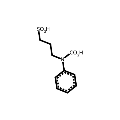 O=C(O)N(CCCS(=O)(=O)O)c1ccccc1